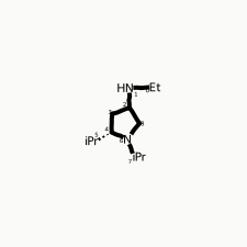 CCNC1C[C@@H](C(C)C)N(C(C)C)C1